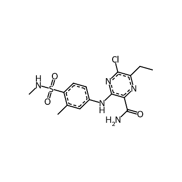 CCc1nc(C(N)=O)c(Nc2ccc(S(=O)(=O)NC)c(C)c2)nc1Cl